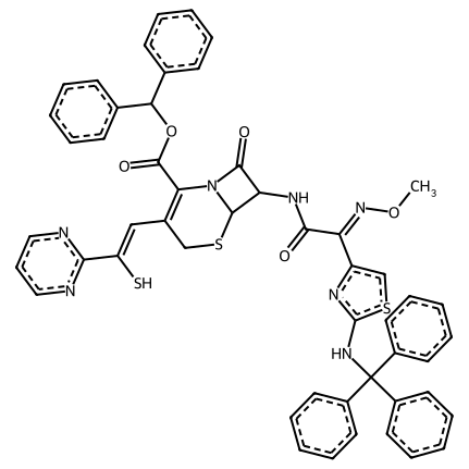 CON=C(C(=O)NC1C(=O)N2C(C(=O)OC(c3ccccc3)c3ccccc3)=C(C=C(S)c3ncccn3)CSC12)c1csc(NC(c2ccccc2)(c2ccccc2)c2ccccc2)n1